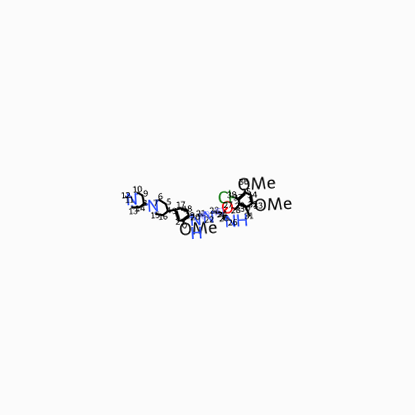 COc1cc(C2CCN(C3CCN(C)CC3)CC2)ccc1N/C=N/C=C(\C=N)OCc1c(C)c(OC)cc(OC)c1Cl